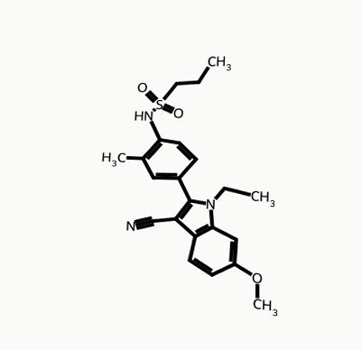 CCCS(=O)(=O)Nc1ccc(-c2c(C#N)c3ccc(OC)cc3n2CC)cc1C